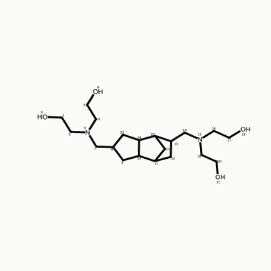 OCCN(CCO)CC1CC2C3CC(CN(CCO)CCO)C(C3)C2C1